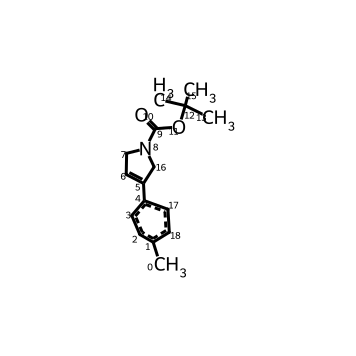 Cc1ccc(C2=CCN(C(=O)OC(C)(C)C)C2)cc1